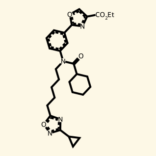 CCOC(=O)c1coc(-c2cccc(N(CCCCCc3nc(C4CC4)no3)C(=O)C3CCCCC3)c2)n1